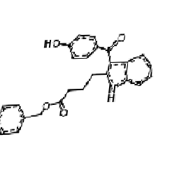 O=C(CCCc1[nH]c2ccccc2c1C(=O)c1ccc(O)cc1)OCc1ccccc1